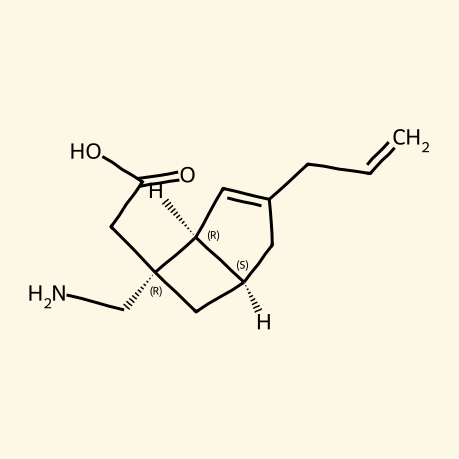 C=CCC1=C[C@H]2[C@@H](C1)C[C@@]2(CN)CC(=O)O